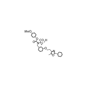 COc1ccc(OC(=O)N(Cc2cccc(OCCc3nc(-c4ccccc4)oc3C)c2)C2(C(=O)O)CC2)cc1